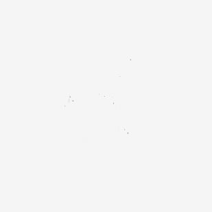 C=CCC1(C#N)CC(N)CC(CC=C)(CC=C)C1